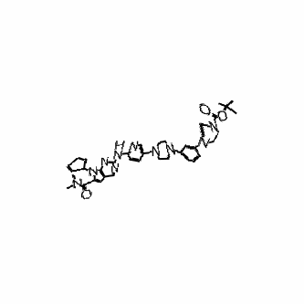 CN(C)C(=O)c1cc2cnc(Nc3ccc(N4CCN(c5cccc(N6CCN(C(=O)OC(C)(C)C)CC6)c5)CC4)cn3)nc2n1C1CCCC1